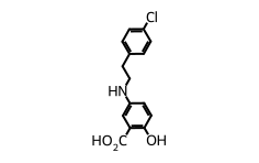 O=C(O)c1cc(NCCc2ccc(Cl)cc2)ccc1O